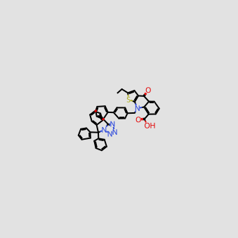 CCc1cc2c(=O)c3cccc(C(=O)O)c3n(Cc3ccc(-c4ccccc4-c4nnnn4C(c4ccccc4)(c4ccccc4)c4ccccc4)cc3)c2s1